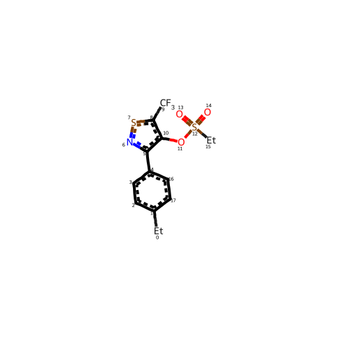 CCc1ccc(-c2nsc(C(F)(F)F)c2OS(=O)(=O)CC)cc1